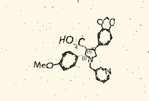 COc1ccc([C@@H]2[C@@H](C(=O)O)[C@@H](c3ccc4c(c3)OCO4)CN2Cc2cccnc2)cc1